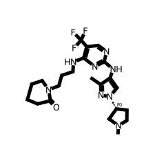 Cc1nn([C@@H]2CCN(C)C2)cc1Nc1ncc(C(F)(F)F)c(NCCCN2CCCCC2=O)n1